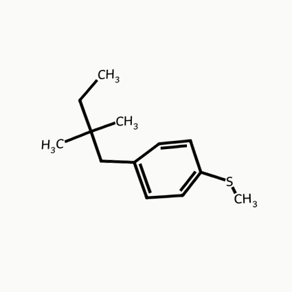 CCC(C)(C)Cc1ccc(SC)cc1